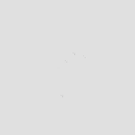 COc1ccc(-n2c(=O)c(-c3ccc4ncccc4c3)cc3cnc(SC)nc32)cc1